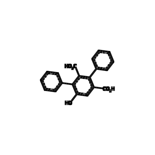 O=C(O)c1cc(O)c(-c2ccccc2)c(C(=O)O)c1-c1ccccc1